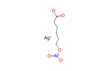 O=C([O-])CCCCCO[N+](=O)[O-].[Ag+]